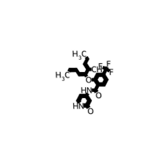 C\C=C/C=C(Oc1cc(C(F)(F)F)ccc1C(=O)Nc1cc[nH]c(=O)c1)\C(C)=C\CC